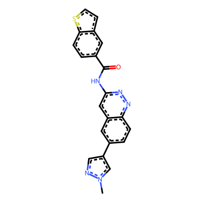 Cn1cc(-c2ccc3nnc(NC(=O)c4ccc5sccc5c4)cc3c2)cn1